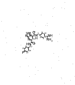 N=C(N)c1ccc(CNC(=O)c2cc(C(=O)NCc3ccc(F)cc3)nc3ncnn23)cc1